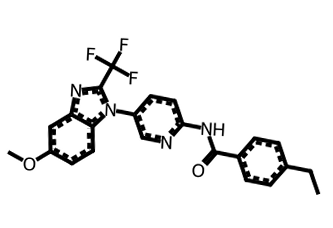 CCc1ccc(C(=O)Nc2ccc(-n3c(C(F)(F)F)nc4cc(OC)ccc43)cn2)cc1